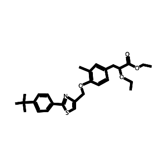 CCOC(=O)C(Cc1ccc(OCc2csc(-c3ccc(C(C)(C)C)cc3)n2)c(C)c1)OCC